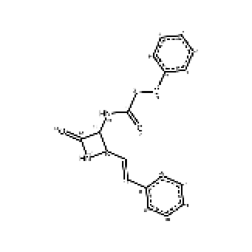 O=C(COc1ccccc1)NC1C(=O)NC1/C=C/c1ccccc1